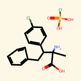 CC(N)(C(=O)O)C(Cc1ccccc1)c1ccc(Cl)cc1.O=P(O)(O)Cl